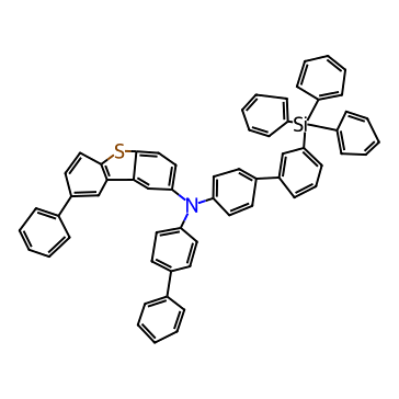 c1ccc(-c2ccc(N(c3ccc(-c4cccc([Si](c5ccccc5)(c5ccccc5)c5ccccc5)c4)cc3)c3ccc4sc5ccc(-c6ccccc6)cc5c4c3)cc2)cc1